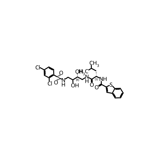 CC(C)C[C@H](NC(=O)c1cc2ccccc2s1)C(=O)NC[C@@H](O)C(O)CNS(=O)(=O)c1ccc(Cl)cc1Cl